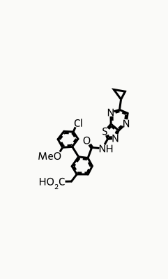 COc1ccc(Cl)cc1-c1cc(CC(=O)O)ccc1C(=O)Nc1nc2ncc(C3CC3)nc2s1